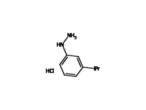 CC(C)c1cccc(NN)c1.Cl